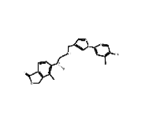 Cc1cc(-n2cc(CNC[C@H](F)c3ccc4c(c3C)COC4=O)cn2)ncc1C#N